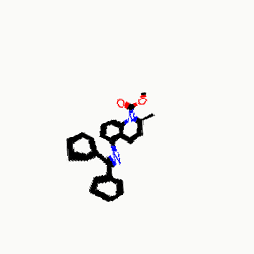 COC(=O)N1c2cccc(N=C(c3ccccc3)c3ccccc3)c2CC[C@@H]1C